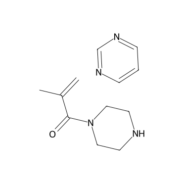 C=C(C)C(=O)N1CCNCC1.c1cncnc1